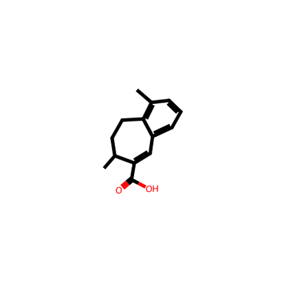 Cc1cccc2c1CCC(C)C(C(=O)O)=C2